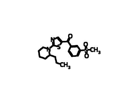 CCCC1CCCCN1c1ncc(C(=O)c2cccc(S(C)(=O)=O)c2)s1